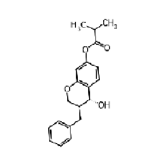 CC(C)C(=O)Oc1ccc2c(c1)OC[C@H](Cc1ccccc1)[C@H]2O